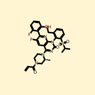 C=CC(=O)N1CCN(c2nc(=O)n(-c3c(CC)cccc3S(=O)(=O)C(C)C)c3nc(-c4c(O)cccc4F)c(F)cc23)[C@@H](C)C1